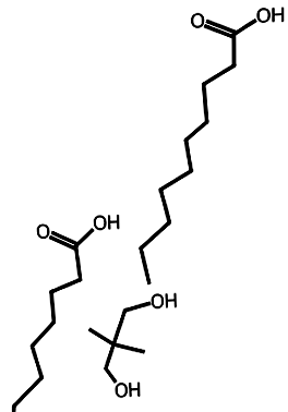 CC(C)(CO)CO.CCCCCCCC(=O)O.CCCCCCCCCC(=O)O